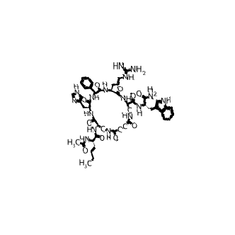 CCCC[C@H](NC(C)=O)C(=O)N[C@H]1CNC(=O)CCC(=O)NCC(C(=O)N[C@@H](Cc2c[nH]c3ccccc23)C(N)=O)NC(=O)[C@H](CCCNC(=N)N)NC(=O)C(c2ccccc2)NC(=O)[C@H](Cc2c[nH]cn2)NC1=O